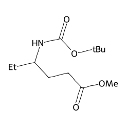 CCC(CCC(=O)OC)NC(=O)OC(C)(C)C